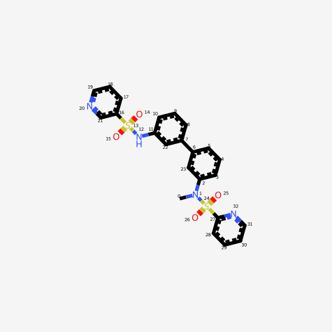 CN(c1cc[c]c(-c2cccc(NS(=O)(=O)c3cccnc3)c2)c1)S(=O)(=O)c1ccccn1